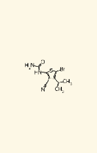 CC(C)c1c(Br)sc(NC(N)=O)c1C#N